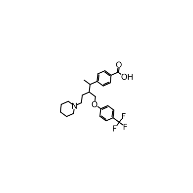 CC(c1ccc(C(=O)O)cc1)C(CCN1CCCCC1)COc1ccc(C(F)(F)F)cc1